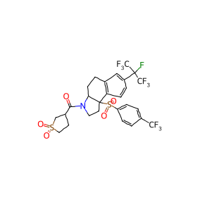 O=C(C1CCS(=O)(=O)C1)N1CCC2(S(=O)(=O)c3ccc(C(F)(F)F)cc3)c3ccc(C(F)(C(F)(F)F)C(F)(F)F)cc3CCC12